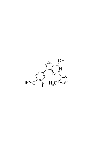 CC(C)Oc1ccc(-c2csc3c(O)nc(-c4nccn4C)nc23)cc1F